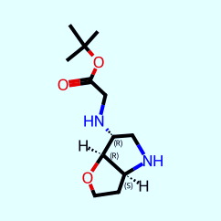 CC(C)(C)OC(=O)CN[C@@H]1CN[C@H]2CCO[C@H]21